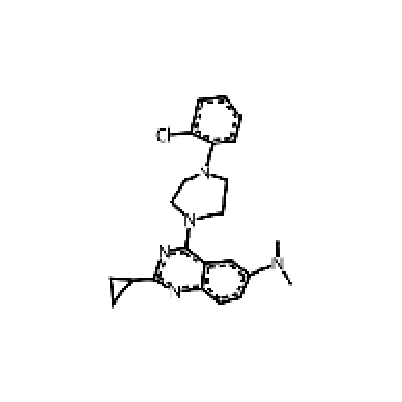 CN(C)c1ccc2nc(C3CC3)nc(N3CCN(c4ccccc4Cl)CC3)c2c1